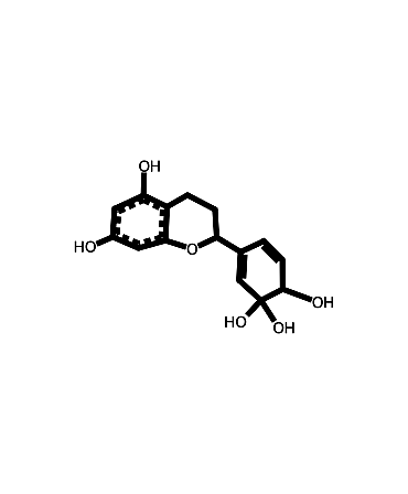 Oc1cc(O)c2c(c1)OC(C1=CC(O)(O)C(O)C=C1)CC2